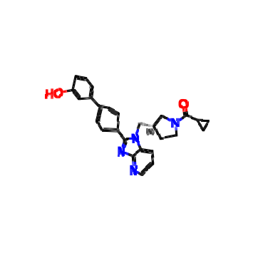 O=C(C1CC1)N1CC[C@H](Cn2c(-c3ccc(-c4cccc(O)c4)cc3)nc3ncccc32)C1